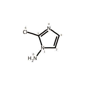 Nn1ccnc1Cl